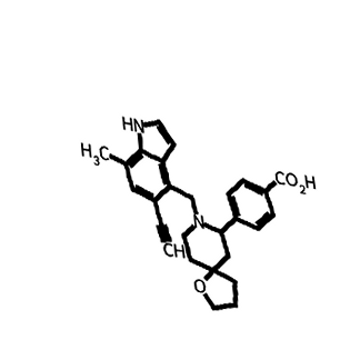 C#Cc1cc(C)c2[nH]ccc2c1CN1CCC2(CCCO2)CC1c1ccc(C(=O)O)cc1